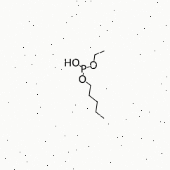 CCCCCOP(O)OCC